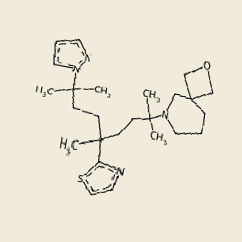 CC(CCC(C)(C)N1CCCC2(COC2)C1)(CCC(C)(C)n1cccn1)c1nccs1